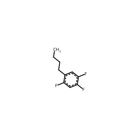 C[CH]CCc1cc(F)c(F)cc1F